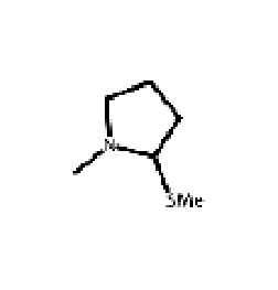 CSC1CCCN1C